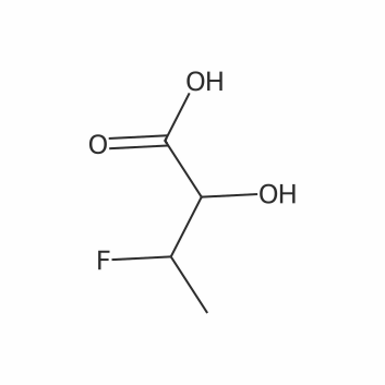 CC(F)C(O)C(=O)O